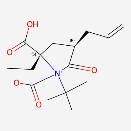 C=CC[C@@H]1C[C@@](CC)(C(=O)O)[N+](C(=O)[O-])(C(C)(C)C)C1=O